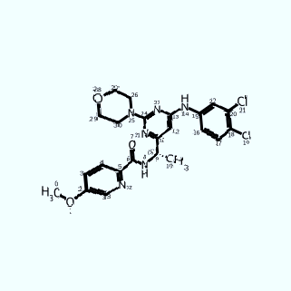 COc1ccc(C(=O)N[C@@H](C)c2cc(Nc3ccc(Cl)c(Cl)c3)nc(N3CCOCC3)n2)nc1